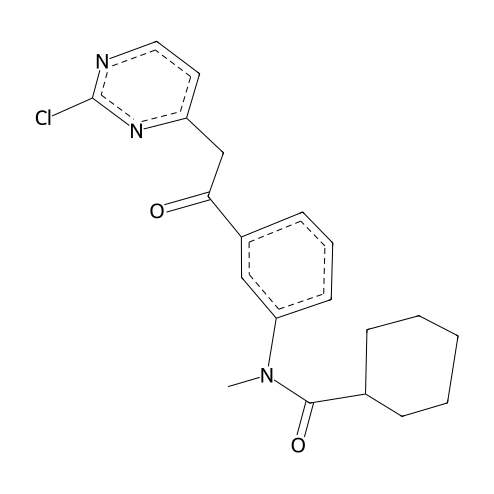 CN(C(=O)C1CCCCC1)c1cccc(C(=O)Cc2ccnc(Cl)n2)c1